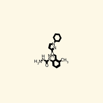 Cc1cccc(N(N)C(=O)NN)c1COc1ccn(C2CCCCC2)n1